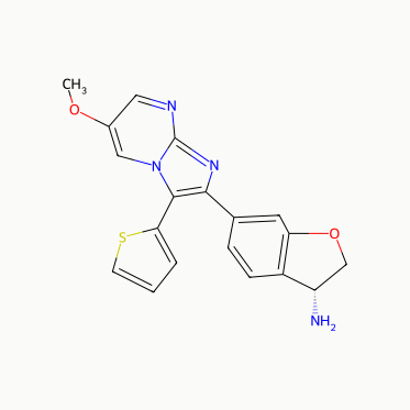 COc1cnc2nc(-c3ccc4c(c3)OC[C@@H]4N)c(-c3cccs3)n2c1